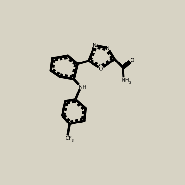 NC(=O)c1nnc(-c2ccccc2Nc2ccc(C(F)(F)F)cc2)o1